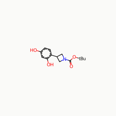 CC(C)(C)OC(=O)N1CC(c2ccc(O)cc2O)C1